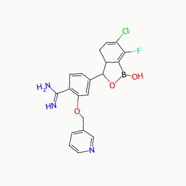 N=C(N)c1ccc(C2OB(O)C3=C(F)C(Cl)=CCC32)cc1OCc1cccnc1